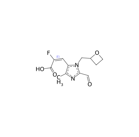 Cc1nc(C=O)n(CC2CCO2)c1/C=C(/F)C(=O)O